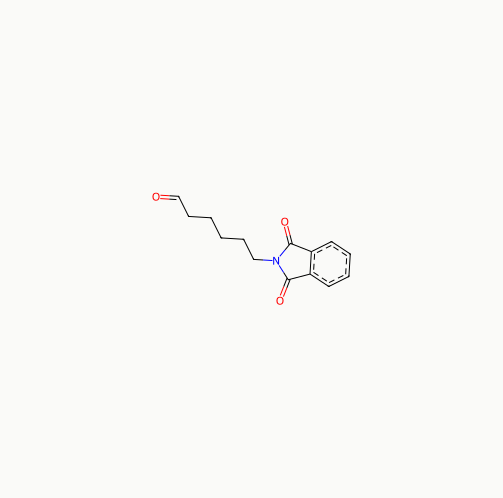 O=CCCCCCN1C(=O)c2ccccc2C1=O